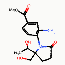 COC(=O)c1ccc(N2C(=O)CCC2(CO)C(C)O)c(N)c1